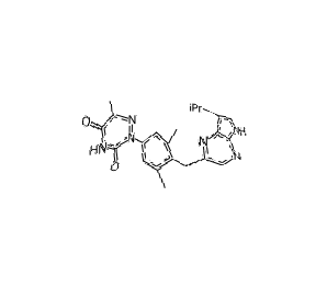 Cc1cc(-n2nc(C)c(=O)[nH]c2=O)cc(C)c1Cc1cnc2[nH]cc(C(C)C)c2n1